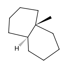 C[C@]12CCCC[C@@H]1CCCC2